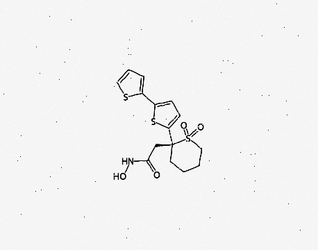 O=C(C[C@]1(c2ccc(-c3cccs3)s2)CCCCS1(=O)=O)NO